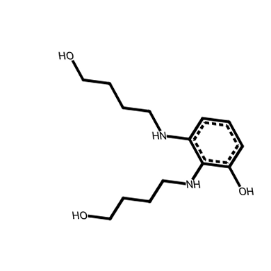 OCCCCNc1cccc(O)c1NCCCCO